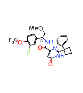 COC[C@@H](NC(=O)c1cc(=O)[nH]c(C2(c3ccccc3)CCC2)n1)c1ccc(OC(F)(F)F)c(F)c1